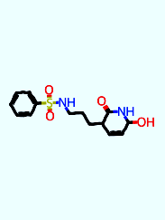 O=C1NC(O)C=CC1CCCNS(=O)(=O)c1ccccc1